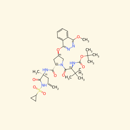 C=CC[C@](C)(NC(=O)[C@@H]1C[C@@H](Oc2nnc(OC)c3ccccc23)CN1C(=O)[C@@H](NC(=O)OC(C)(C)C)C(C)(C)C)C(=O)NS(=O)(=O)C1CC1